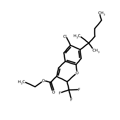 CCCCC(C)(C)c1cc2c(cc1Cl)C=C(C(=O)OCC)C(C(F)(F)F)O2